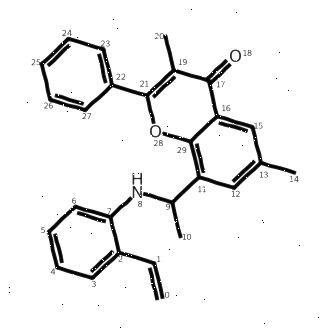 C=Cc1ccccc1NC(C)c1cc(C)cc2c(=O)c(C)c(-c3ccccc3)oc12